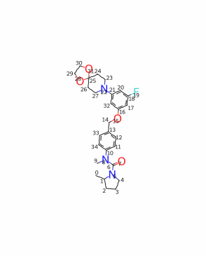 CC1CCCN1C(=O)N(C)c1ccc(COc2cc(F)cc(N3CCC4(CC3)OCCO4)c2)cc1